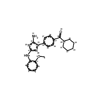 COc1ccccc1Nc1nc(N)n(-c2ccc(C(=O)N3CCCCC3)cc2)n1